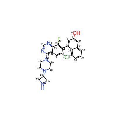 Oc1cc(-c2c(Cl)cc3c(N4CCN(C5CNC5)CC4)ncnc3c2F)c2ccccc2c1